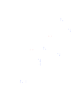 Nc1cccc(C(=O)Nc2cncc(Oc3cncnc3)n2)c1